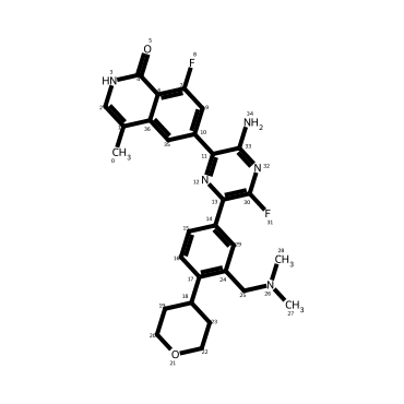 Cc1c[nH]c(=O)c2c(F)cc(-c3nc(-c4ccc(C5CCOCC5)c(CN(C)C)c4)c(F)nc3N)cc12